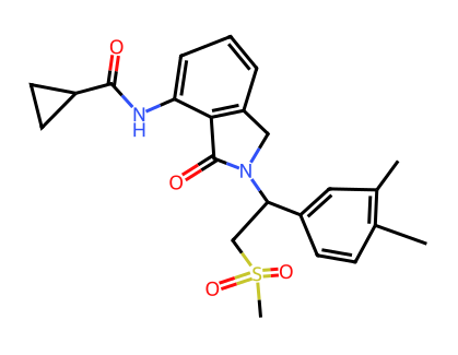 Cc1ccc(C(CS(C)(=O)=O)N2Cc3cccc(NC(=O)C4CC4)c3C2=O)cc1C